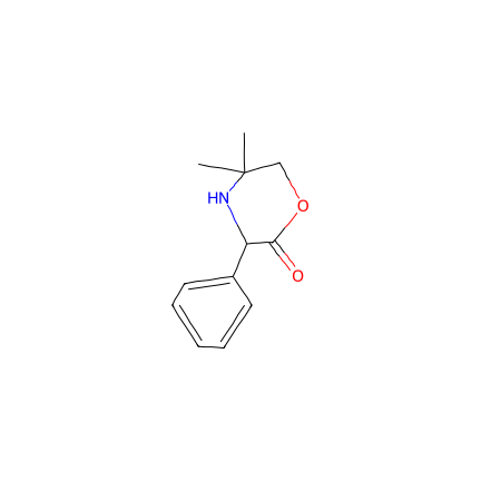 CC1(C)COC(=O)C(c2ccccc2)N1